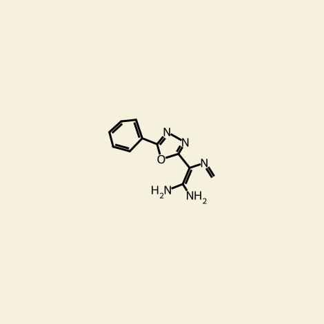 C=NC(=C(N)N)c1nnc(-c2ccccc2)o1